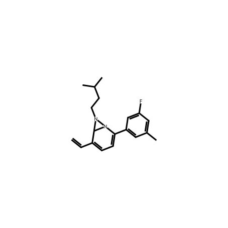 C=CC1=CC=C(c2cc(C)cc(F)c2)N2C1N2CCC(C)C